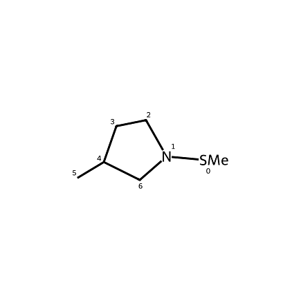 CSN1CCC(C)C1